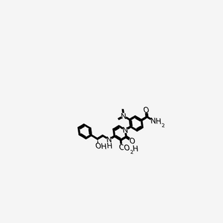 CN(C)c1cc(C(N)=O)ccc1-n1ccc(NC[C@H](O)c2ccccc2)c(C(=O)O)c1=O